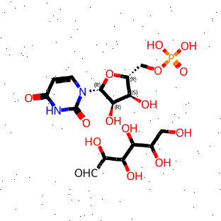 O=CC(O)C(O)C(O)C(O)CO.O=c1ccn([C@@H]2O[C@H](COP(=O)(O)O)[C@@H](O)[C@H]2O)c(=O)[nH]1